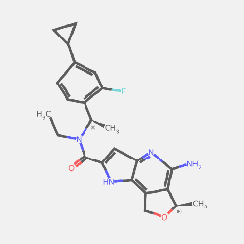 CCN(C(=O)c1cc2nc(N)c3c(c2[nH]1)CO[C@@H]3C)[C@H](C)c1ccc(C2CC2)cc1F